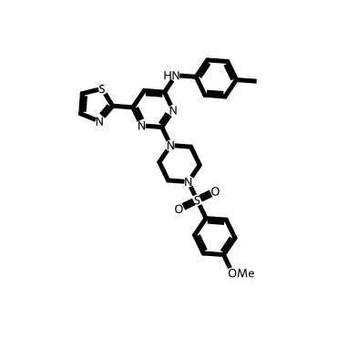 COc1ccc(S(=O)(=O)N2CCN(c3nc(Nc4ccc(C)cc4)cc(-c4nccs4)n3)CC2)cc1